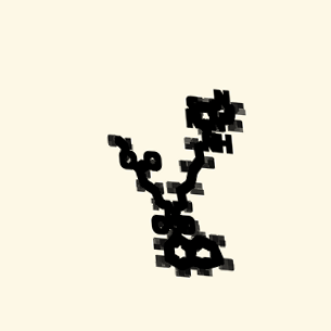 CCOC(=O)CCCN(CCCCCCNc1nsc2nccn12)S(=O)(=O)c1cccc2ccccc12